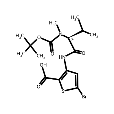 CC(C)[C@@H](C(=O)Nc1cc(Br)sc1C(=O)O)N(C)C(=O)OC(C)(C)C